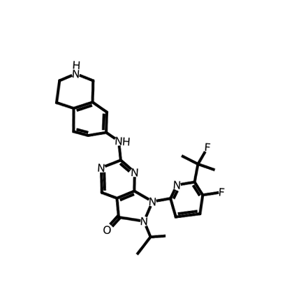 CC(C)n1c(=O)c2cnc(Nc3ccc4c(c3)CNCC4)nc2n1-c1ccc(F)c(C(C)(C)F)n1